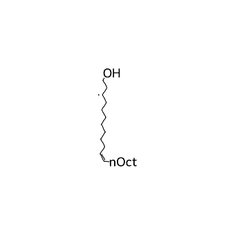 CCCCCCCC/C=C\CCCCCCC[CH]CCO